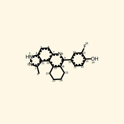 Cc1n[nH]c2ccc3nc(-c4ccc(O)c(F)c4)c4c(c3c12)CCCC4